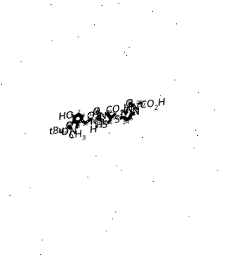 CN(Cc1cc(O)ccc1CC(=O)NC1C(=O)N2C(C(=O)O)=C(CSc3ccc4nn(CC(=O)O)c(=O)n4n3)CS[C@@H]12)C(=O)OC(C)(C)C